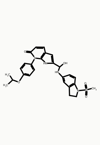 CC(C)Oc1ccc(-n2c(=O)ccc3cc(C(O)Nc4ccc5c(c4)CCN5S(C)(=O)=O)[nH]c32)cc1